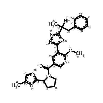 COc1ncc(C(=O)N2CCCC2c2nc(C)cs2)cc1-c1nnc(C(C)(N)Cc2ccccc2)o1